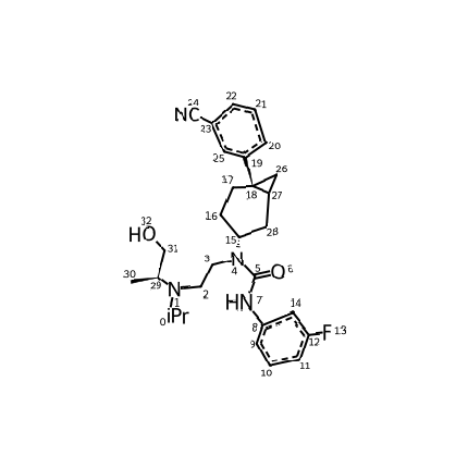 CC(C)N(CCN(C(=O)Nc1cccc(F)c1)[C@@H]1CC[C@]2(c3cccc(C#N)c3)CC2C1)[C@@H](C)CO